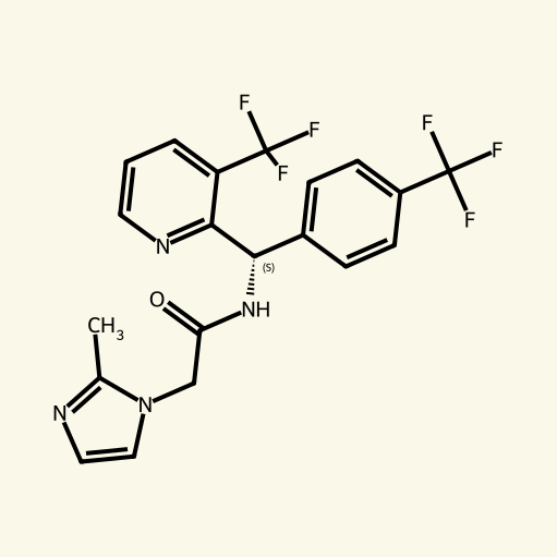 Cc1nccn1CC(=O)N[C@@H](c1ccc(C(F)(F)F)cc1)c1ncccc1C(F)(F)F